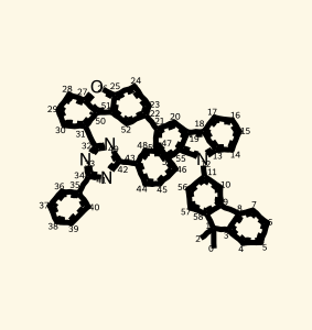 CC1(C)c2ccccc2-c2cc(-n3c4ccccc4c4cc(-c5ccc6oc7cccc(-c8nc(-c9ccccc9)nc(-c9ccccc9)n8)c7c6c5)ccc43)ccc21